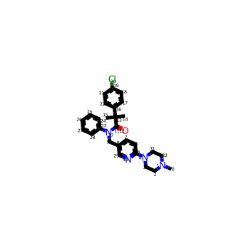 CN1CCN(c2ccc(CN(C(=O)C(C)(C)c3ccc(Cl)cc3)c3ccccc3)cn2)CC1